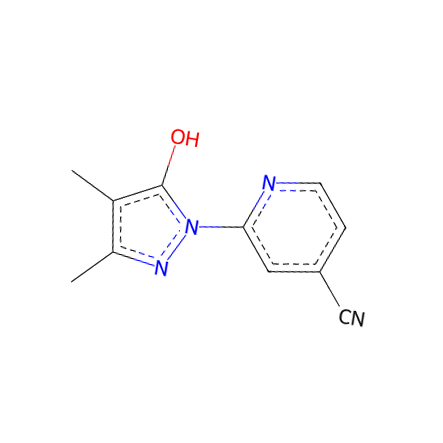 Cc1nn(-c2cc(C#N)ccn2)c(O)c1C